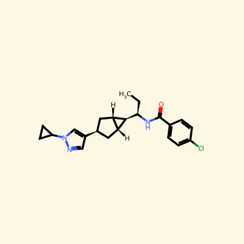 CC[C@@H](NC(=O)c1ccc(Cl)cc1)[C@H]1[C@@H]2C[C@@H](c3cnn(C4CC4)c3)C[C@@H]21